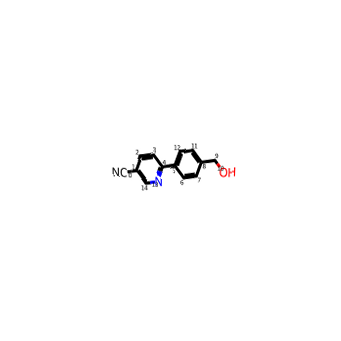 N#Cc1ccc(-c2ccc(CO)cc2)nc1